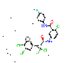 Cc1cc(C2C(C(=O)Nc3ccc(Cl)c(C(=O)Nc4ccc(F)cc4)c3)C2(Cl)Cl)cc(Cl)c1Cl